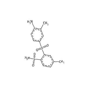 Cc1ccc(S(N)(=O)=O)c(S(=O)(=O)c2ccc(N)c(C)c2)c1